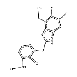 CCNc1cccn(Cc2nc3c(CC(C)(C)C)c(F)c(F)cc3[nH]2)c1=O